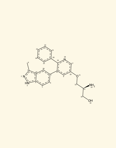 Cc1n[nH]c2ccc(-c3cc(OC[C@@H](N)CO)cnc3-c3ccccc3)cc12